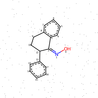 ON=C1c2ccccc2CCC1c1ccccc1